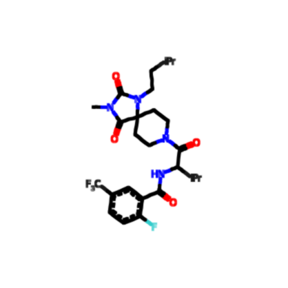 CC(C)CCN1C(=O)N(C)C(=O)C12CCN(C(=O)C(NC(=O)c1cc(C(F)(F)F)ccc1F)C(C)C)CC2